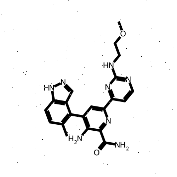 COCCNc1nccc(-c2cc(-c3c(C)ccc4[nH]ncc34)c(N)c(C(N)=O)n2)n1